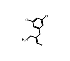 NC/C(=C/F)Cc1cc(Cl)cc(Cl)c1